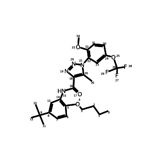 CCCCOc1ccc(C(C)(C)C)cc1NC(=O)c1nnn(-c2cc(OC(F)(F)F)ccc2OC)c1C